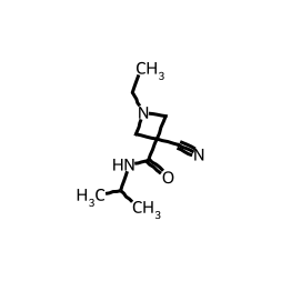 CCN1CC(C#N)(C(=O)NC(C)C)C1